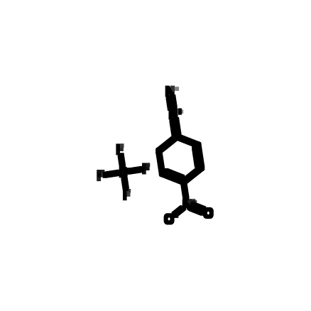 F[B-](F)(F)F.[N-]=[N+]=C1C=CC([N+](=O)[O-])=CC1